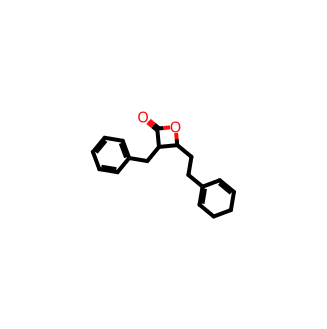 O=C1OC(CCC2=CCCC=C2)C1Cc1ccccc1